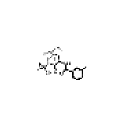 C[Si](C)(C)CC(NC(=O)c1cccc(I)c1)C(=O)NC1(C#N)CC1